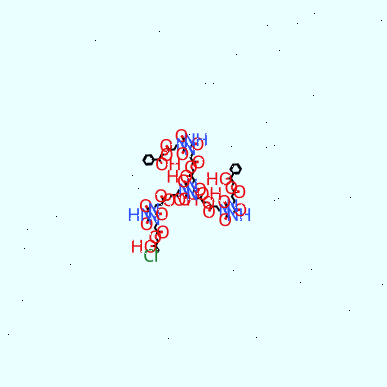 O=C(CCn1c(=O)[nH]c(=O)n(CCC(=O)OCC(O)Cn2c(=O)n(CC(O)COC(=O)CCn3c(=O)[nH]c(=O)n(CCC(=O)OCC(O)c4ccccc4)c3=O)c(=O)n(CC(O)COC(=O)CCn3c(=O)[nH]c(=O)n(CCC(=O)OCC(O)c4ccccc4)c3=O)c2=O)c1=O)OCC(O)CCl